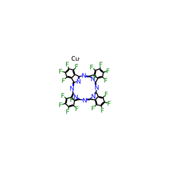 Fc1c(F)c(F)c2c(c1F)-c1nc-2nc2c3c(F)c(F)c(F)c(F)c3c(nc3nc(nc4c5c(F)c(F)c(F)c(F)c5c(n1)n4F)-c1c(F)c(F)c(F)c(F)c1-3)n2F.[Cu]